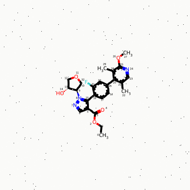 CCOC(=O)c1cnn([C@@H]2COC[C@H]2O)c1-c1ccc(-c2c(C)cnc(OC)c2C)cc1F